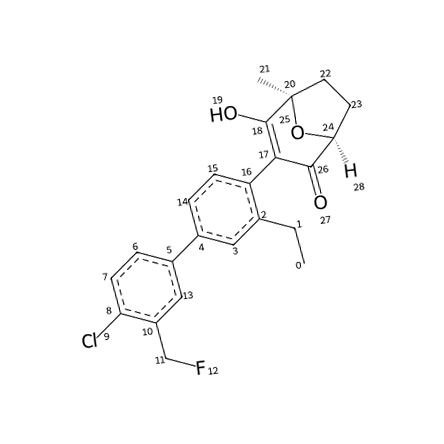 CCc1cc(-c2ccc(Cl)c(CF)c2)ccc1C1=C(O)[C@@]2(C)CC[C@H](O2)C1=O